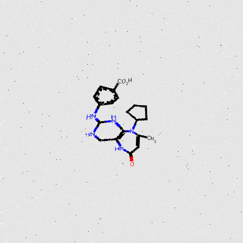 CC1=CC(=O)NC2=C(NC(Nc3ccc(C(=O)O)cc3)NC2)N1C1CCCC1